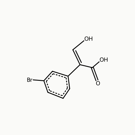 O=C(O)/C(=C\O)c1cccc(Br)c1